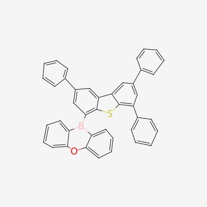 c1ccc(-c2cc(B3c4ccccc4Oc4ccccc43)c3sc4c(-c5ccccc5)cc(-c5ccccc5)cc4c3c2)cc1